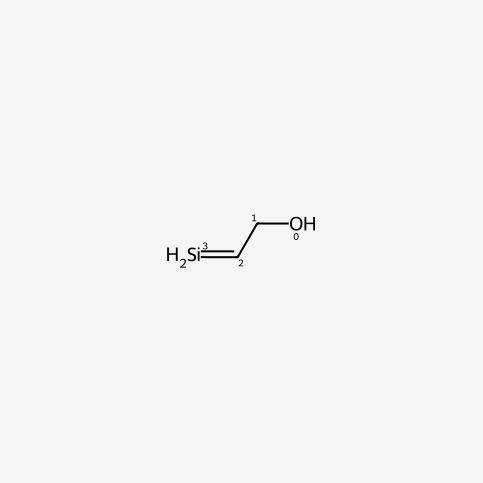 OCC=[SiH2]